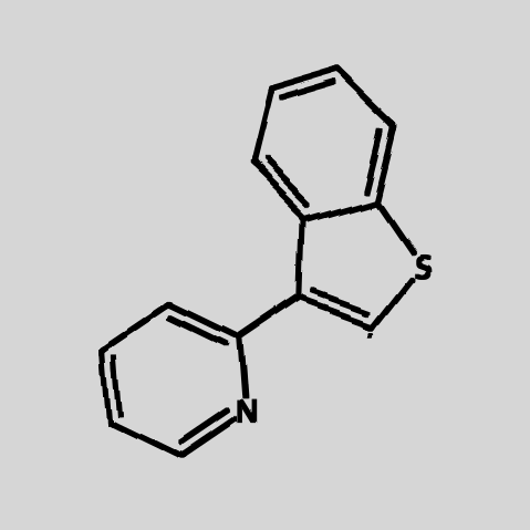 [c]1sc2ccccc2c1-c1ccccn1